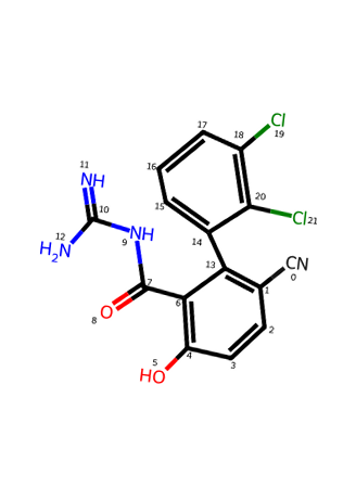 N#Cc1ccc(O)c(C(=O)NC(=N)N)c1-c1cccc(Cl)c1Cl